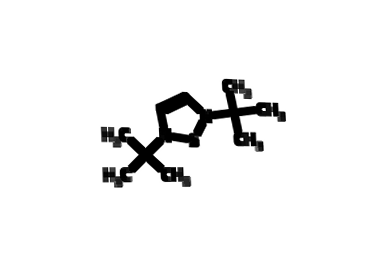 CC(C)(C)N1C=CN(C(C)(C)C)S1